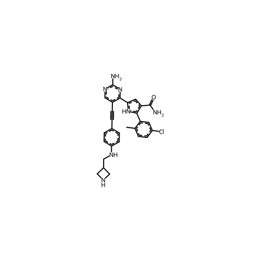 Cc1ccc(Cl)cc1-c1[nH]c(-c2nc(N)ncc2C#Cc2ccc(NCC3CNC3)cc2)cc1C(N)=O